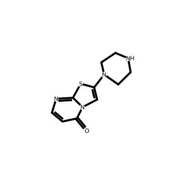 O=c1ccnc2sc(N3CCNCC3)cn12